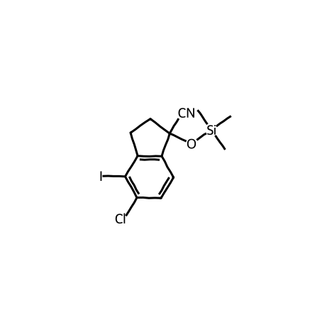 C[Si](C)(C)OC1(C#N)CCc2c1ccc(Cl)c2I